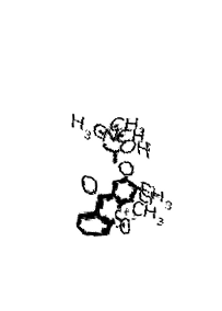 Cc1c(OCC(O)C[N+](C)(C)C)cc2c(=O)c3ccccc3[s+]([O-])c2c1C.[Cl-]